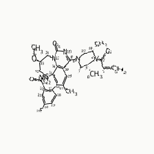 C=CC(=O)N1[C@H](C)CN(c2nc(=O)n3c4c(c(-c5ccc(F)cc5C(N)=O)c(C)cc24)SC[C@@H](OC)C3)C[C@@H]1C